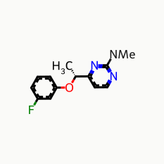 CNc1nccc([C@@H](C)Oc2cccc(F)c2)n1